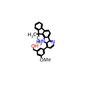 COc1cc(CO)cc(-c2ccnc3c2[nH]c2c4c(ccc23)-c2ccccc2C4(C)C)c1